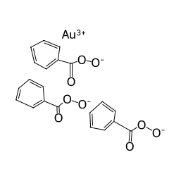 O=C(O[O-])c1ccccc1.O=C(O[O-])c1ccccc1.O=C(O[O-])c1ccccc1.[Au+3]